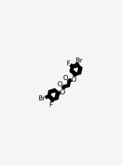 O=C(CC(=O)Oc1ccc(Br)c(F)c1)Oc1ccc(Br)c(F)c1